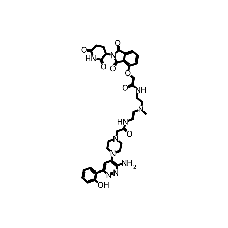 CN(CCNC(=O)COc1cccc2c1C(=O)N(C1CCC(=O)NC1=O)C2=O)CCNC(=O)CN1CCN(c2cc(-c3ccccc3O)nnc2N)CC1